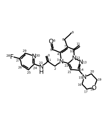 C=C(CN1C(C=O)=C(CC)C(=C)n2nc(N3CCOCC3)cc21)Nc1ccc(F)cn1